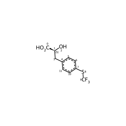 O=C(O)[C@@H](O)Cc1ccc(SC(F)(F)F)cc1